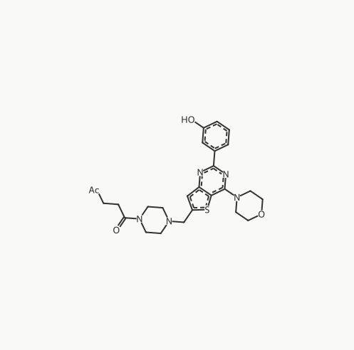 CC(=O)CCC(=O)N1CCN(Cc2cc3nc(-c4cccc(O)c4)nc(N4CCOCC4)c3s2)CC1